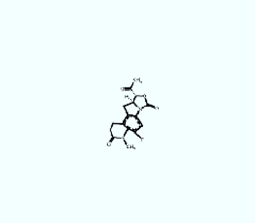 CN1C(=O)CCc2c3c(cc(F)c21)N1C(=O)O[C@@H](C(N)=O)[C@@H]1C3